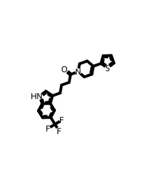 O=C(CCCc1c[nH]c2ccc(C(F)(F)F)cc12)N1CC=C(c2cccs2)CC1